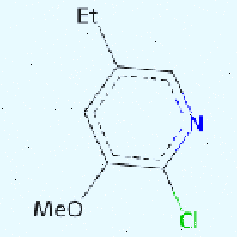 [CH2]Cc1cnc(Cl)c(OC)c1